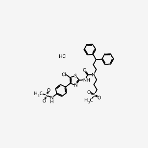 CS(=O)(=O)CCCN(CCC(c1ccccc1)c1ccccc1)C(=O)Nc1nc(-c2ccc(NS(C)(=O)=O)cc2)c(Cl)s1.Cl